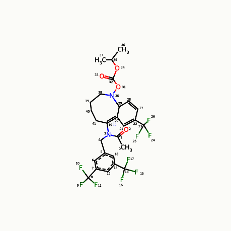 CC(=O)N(Cc1cc(C(F)(F)F)cc(C(F)(F)F)c1)/C1=C2\C=C(C(F)(F)F)C=CC2N(OC(=O)OC(C)C)CCCC1